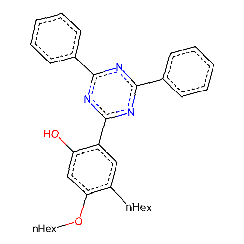 CCCCCCOc1cc(O)c(-c2nc(-c3ccccc3)nc(-c3ccccc3)n2)cc1CCCCCC